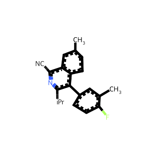 Cc1ccc2c(-c3ccc(F)c(C)c3)c(C(C)C)nc(C#N)c2c1